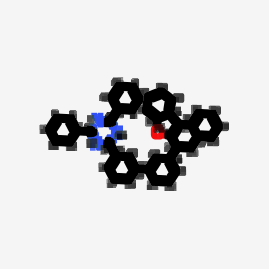 c1ccc(-c2nc(-c3ccccc3)nc(-c3cccc(-c4cccc(-c5cc6ccccc6c6c5oc5ccccc56)c4)c3)n2)cc1